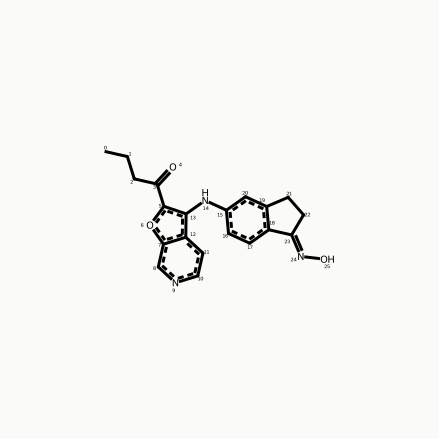 CCCC(=O)c1oc2cnccc2c1Nc1ccc2c(c1)CC/C2=N\O